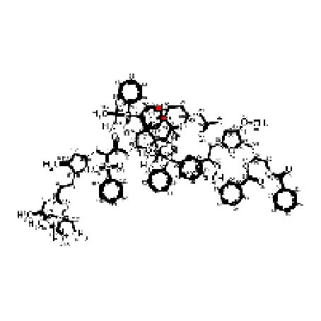 C=C=C(C)C[C@H](CC[C@@H]1O[C@@H](CC(C(=O)C[C@H]2O[C@H]3[C@@H](O[Si](c4ccccc4)(c4ccccc4)C(C)(C)C)[C@H]4O[C@@H](CC(=O)C[C@@H]5[C@@H](OC)[C@@H](C[C@H](COC(=O)c6ccccc6)OC(=O)c6ccccc6)O[C@H]5CC(OC)OC)CC[C@@H]4O[C@H]3[C@H]2O[Si](c2ccccc2)(c2ccccc2)C(C)(C)C)S(=O)(=O)c2ccccc2)CC1=C)O[Si](CC)(CC)CC